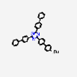 CCCCc1ccc(-c2ccc(-c3nc(-c4ccc(-c5ccccc5)cc4)nc(-c4ccc(-c5ccccc5)cc4)n3)cc2)cc1